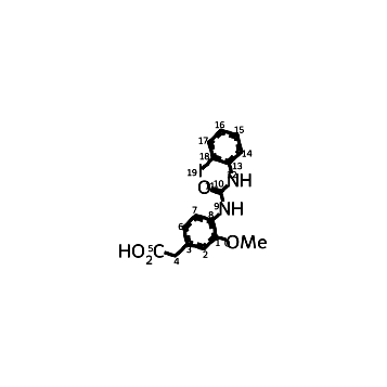 COc1cc(CC(=O)O)ccc1NC(=O)Nc1ccccc1I